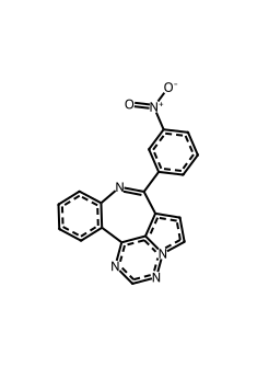 O=[N+]([O-])c1cccc(C2=Nc3ccccc3-c3ncnn4ccc2c34)c1